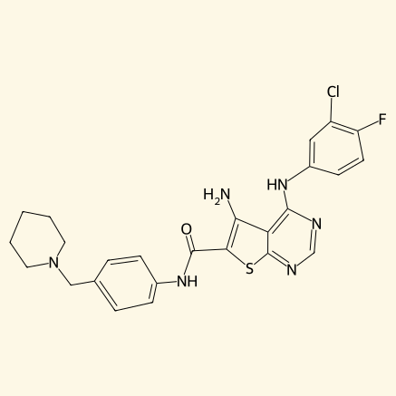 Nc1c(C(=O)Nc2ccc(CN3CCCCC3)cc2)sc2ncnc(Nc3ccc(F)c(Cl)c3)c12